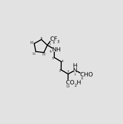 O=CNC(CCCNC1(C(F)(F)F)CCCC1)C(=O)O